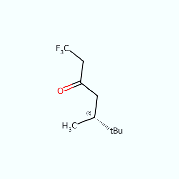 C[C@H](CC(=O)CC(F)(F)F)C(C)(C)C